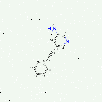 Nc1cncc(C#Cc2ccccc2)c1